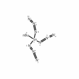 CCC[CH2][Sn]([N]=[N+]=[N-])([N]=[N+]=[N-])[N]=[N+]=[N-]